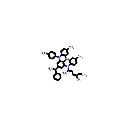 C=C/C(C)=C\C=C(/C)N(C1=CC=C(C)CC1)c1cc(C(C)C2=CC=CCC2)cc2c1Bc1cc(C)ccc1N2c1ccc(C)cc1